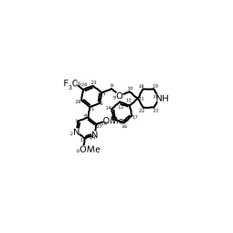 COc1ncc(-c2cc(COCC3(c4ccccc4)CCNCC3)cc(C(F)(F)F)c2)c(OC)n1